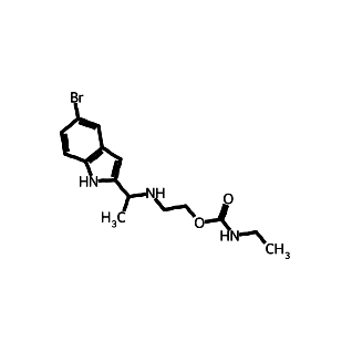 CCNC(=O)OCCNC(C)c1cc2cc(Br)ccc2[nH]1